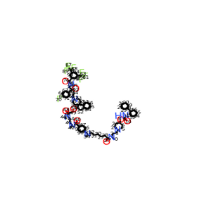 CN(CCN1CCC(OC(=O)Nc2ccccc2-c2ccccc2)CC1)C(=O)CCCCCN(C)c1ccc(C(=O)N(C)CCN(C)C(=O)CO[C@H]2Cc3ccccc3C23CCN(CC[C@@]2(c4ccc(F)cc4)CN(C(=O)c4cc(C(F)(F)F)cc(C(F)(F)F)c4)CO2)CC3)cc1